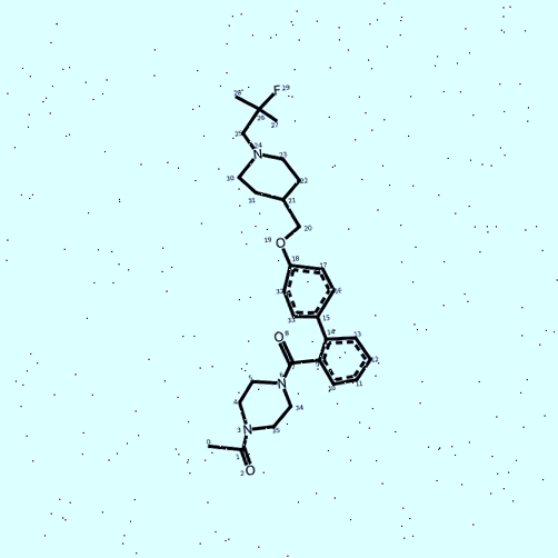 CC(=O)N1CCN(C(=O)c2ccccc2-c2ccc(OCC3CCN(CC(C)(C)F)CC3)cc2)CC1